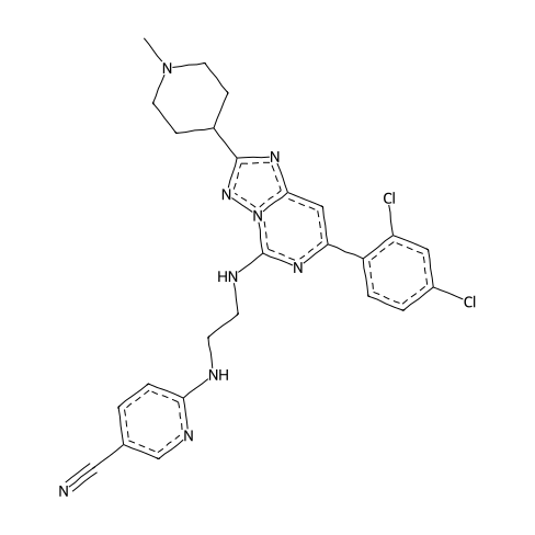 CN1CCC(c2nc3cc(-c4ccc(Cl)cc4Cl)nc(NCCNc4ccc(C#N)cn4)n3n2)CC1